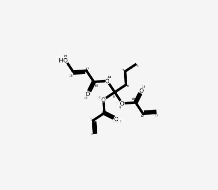 C=CC(=O)OC(CCC)(OC(=O)C=C)OC(=O)C=CO